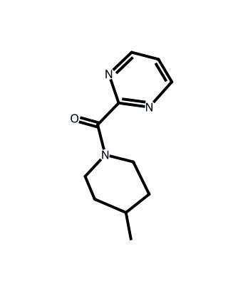 CC1CCN(C(=O)c2ncccn2)CC1